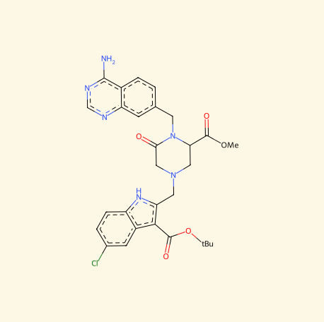 COC(=O)C1CN(Cc2[nH]c3ccc(Cl)cc3c2C(=O)OC(C)(C)C)CC(=O)N1Cc1ccc2c(N)ncnc2c1